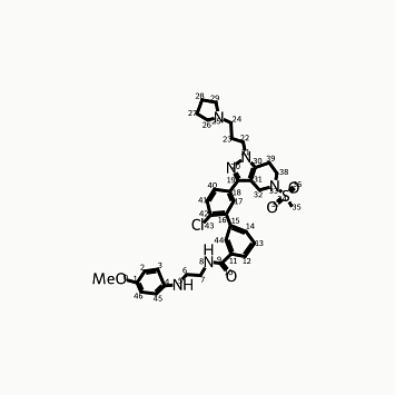 COc1ccc(NCCNC(=O)c2cccc(-c3cc(-c4nn(CCCN5CCCC5)c5c4CN(S(C)(=O)=O)CC5)ccc3Cl)c2)cc1